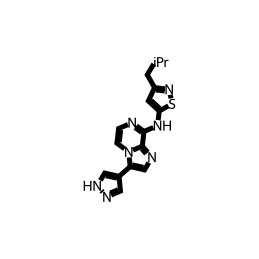 CC(C)Cc1cc(Nc2nccn3c(-c4cn[nH]c4)cnc23)sn1